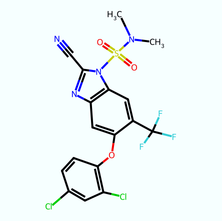 CN(C)S(=O)(=O)n1c(C#N)nc2cc(Oc3ccc(Cl)cc3Cl)c(C(F)(F)F)cc21